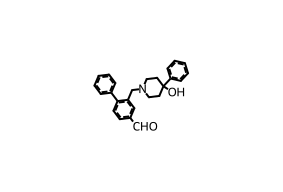 O=Cc1ccc(-c2ccccc2)c(CN2CCC(O)(c3ccccc3)CC2)c1